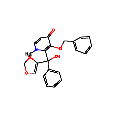 Cn1ccc(=O)c(OCc2ccccc2)c1C(O)(C1=COCO1)c1ccccc1